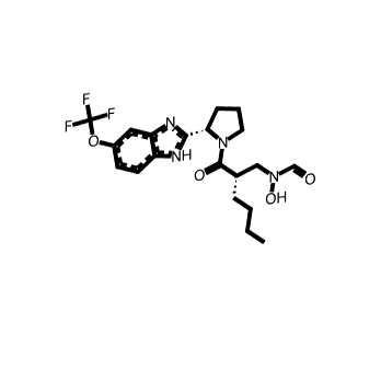 CCCC[C@@H](CN(O)C=O)C(=O)N1CCC[C@H]1c1nc2cc(OC(F)(F)F)ccc2[nH]1